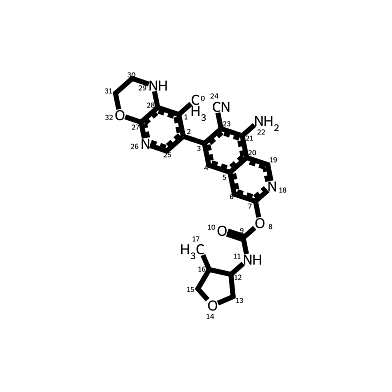 Cc1c(-c2cc3cc(OC(=O)NC4COCC4C)ncc3c(N)c2C#N)cnc2c1NCCO2